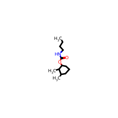 CCCCNC(=O)OC1CCCC(C)C1C